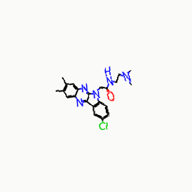 Cc1cc2nc3c4cc(Cl)ccc4n(CC(=O)NCCN(C)C)c3nc2cc1C